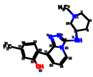 CN1CCC[C@@H](Nc2nnc3c(-c4ccc(C(F)(F)F)cc4O)cccn23)C1